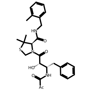 CC(=O)C(=O)N[C@@H](Cc1ccccc1)[C@H](O)C(=O)N1CSC(C)(C)[C@H]1C(=O)NCc1ccccc1C